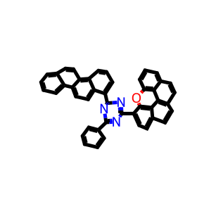 c1ccc(-c2nc(-c3ccc4ccc5ccc6cccc7c6c5c4c3O7)nc(-c3cccc4c3ccc3c5ccccc5ccc43)n2)cc1